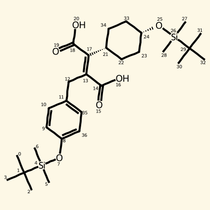 CC(C)(C)[Si](C)(C)Oc1ccc(CC(C(=O)O)=C(C(=O)O)[C@H]2CC[C@@H](O[Si](C)(C)C(C)(C)C)CC2)cc1